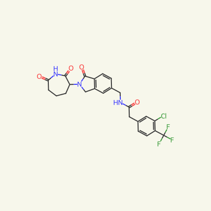 O=C(Cc1ccc(C(F)(F)F)c(Cl)c1)NCc1ccc2c(c1)CN(C1CCCC(=O)NC1=O)C2=O